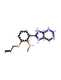 C=CCSc1cccc(-c2nc3cncnc3[nH]2)c1OC